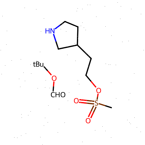 CC(C)(C)OC=O.CS(=O)(=O)OCCC1CCNC1